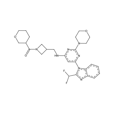 O=C(C1CCCOC1)N1CC(CNc2cc(-n3c(C(F)F)nc4ccccc43)nc(N3CCOCC3)n2)C1